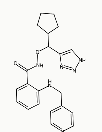 O=C(NOC(c1c[nH]nn1)C1CCCC1)c1ccccc1NCc1ccncc1